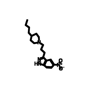 CCCCC1CCN(CCCc2n[nH]c3ccc([N+](=O)[O-])cc23)CC1